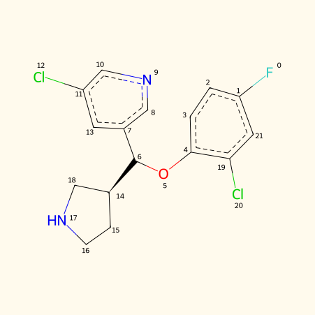 Fc1ccc(OC(c2cncc(Cl)c2)[C@H]2CCNC2)c(Cl)c1